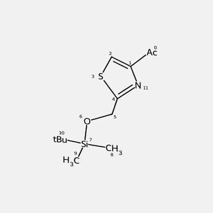 CC(=O)c1csc(CO[Si](C)(C)C(C)(C)C)n1